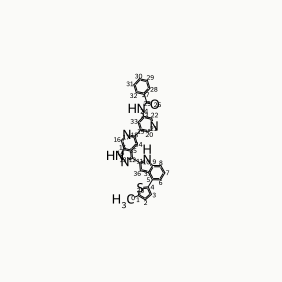 Cc1ccc(-c2cccc3[nH]c(-c4n[nH]c5cnc(-c6cncc(NC(=O)c7ccccc7)c6)cc45)cc23)s1